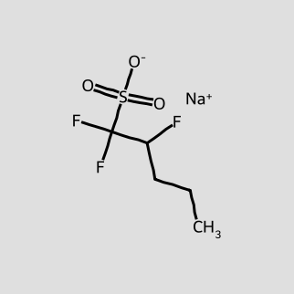 CCCC(F)C(F)(F)S(=O)(=O)[O-].[Na+]